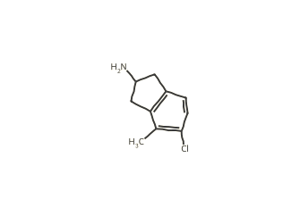 Cc1c(Cl)ccc2c1CC(N)C2